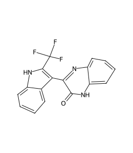 O=c1[nH]c2ccccc2nc1-c1c(C(F)(F)F)[nH]c2ccccc12